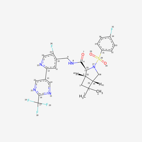 CC1(C)C[C@@H]2[C@@H](C(=O)NCc3cc(-c4cnc(C(F)(F)F)nc4)ncc3F)N(S(=O)(=O)c3ccc(F)cc3)C[C@@H]21